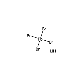 [Br][Pb]([Br])([Br])[Br].[LiH]